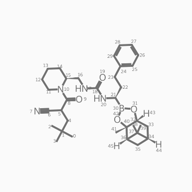 CC(C)(C)CC(C#N)C(=O)N1CCCC[C@H]1CNC(=O)N[C@@H](CCc1ccccc1)B1O[C@@H]2C[C@@H]3C[C@@H](C3(C)C)[C@]2(C)O1